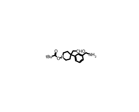 CC(C)(C)C(=O)ON1CCC(CC=O)(c2cccc(CN)c2)CC1